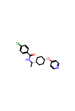 CC(NC(=O)c1ccc(Cl)cc1)[C@H]1CC[C@@H](Oc2ccncc2)CC1